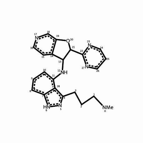 CNCCCc1n[nH]c2cccc(NC3c4ccncc4OC3c3ncccn3)c12